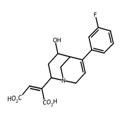 O=C(O)/C=C(\C(=O)O)C1CC(O)C2CN1CC=C2c1cccc(F)c1